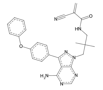 C=C(C#N)C(=O)NCC(C)(C)Cn1nc(-c2ccc(Oc3ccccc3)cc2)c2c(N)ncnc21